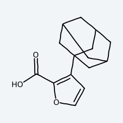 O=C(O)c1occc1C12CC3CC(CC(C3)C1)C2